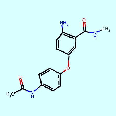 CNC(=O)c1cc(Oc2ccc(NC(C)=O)cc2)ccc1N